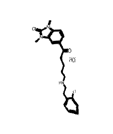 Cl.Cn1c(=O)n(C)c2cc(C(=O)CCCCNCCc3ccccc3Cl)ccc21